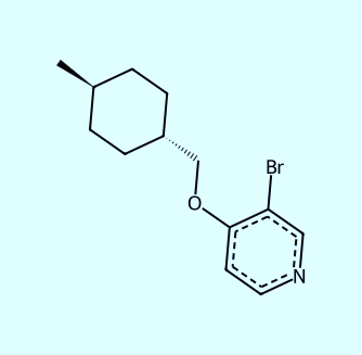 C[C@H]1CC[C@H](COc2ccncc2Br)CC1